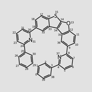 c1ccc(-c2cccc(-c3ccc4oc5sc6ccc(-c7cccc(-c8ccccc8)n7)cc6c5c4c3)n2)cc1